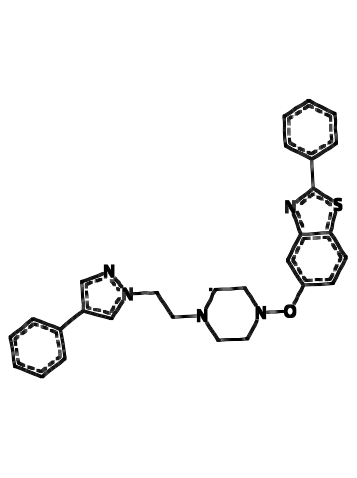 [CH]1CN(Oc2ccc3sc(-c4ccccc4)nc3c2)CCN1CCn1cc(-c2ccccc2)cn1